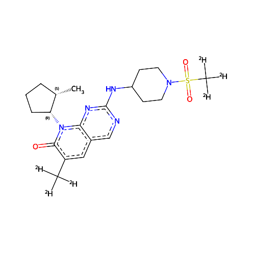 [2H]C([2H])([2H])c1cc2cnc(NC3CCN(S(=O)(=O)C([2H])([2H])[2H])CC3)nc2n([C@@H]2CCC[C@@H]2C)c1=O